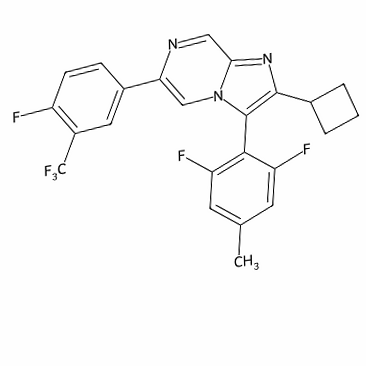 Cc1cc(F)c(-c2c(C3CCC3)nc3cnc(-c4ccc(F)c(C(F)(F)F)c4)cn23)c(F)c1